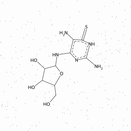 Nc1nc(NC2OC(CO)C(O)C2O)c(N)c(=S)[nH]1